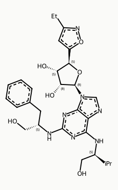 CCc1cc([C@H]2O[C@@H](n3cnc4c(N[C@H](CO)C(C)C)nc(N[C@H](CO)Cc5ccccc5)nc43)[C@H](O)[C@@H]2O)on1